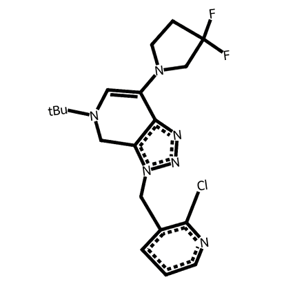 CC(C)(C)N1C=C(N2CCC(F)(F)C2)c2nnn(Cc3cccnc3Cl)c2C1